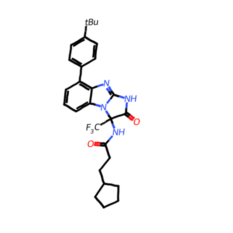 CC(C)(C)c1ccc(-c2cccc3c2nc2n3C(NC(=O)CCC3CCCC3)(C(F)(F)F)C(=O)N2)cc1